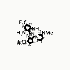 CNC1CCCN(c2nc(-c3c(N)cc(C(F)(F)F)cc3N)nc3c2CCC3)C1.Cl.Cl